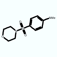 CNc1ccc(S(=O)(=O)N2CCOCC2)cc1